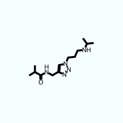 CC(C)NCCCn1cc(CNC(=O)C(C)C)nn1